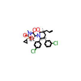 C=CC[C@@]1(C)C[C@H](c2cccc(Cl)c2)[C@@H](c2ccc(Cl)cc2)N(C(CC)C(=O)N(C)S(=O)(=O)C2CC2)C1=O